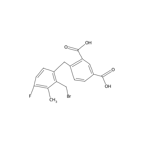 Cc1c(F)ccc(Cc2ccc(C(=O)O)cc2C(=O)O)c1CBr